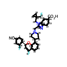 N#Cc1ccc([C@@H]2C=C(F)c3cccc(C4CCN(Cc5nc6ccc(C(=O)O)cc6n5CC5(CF)CC5)CC4)c3O2)c(F)c1